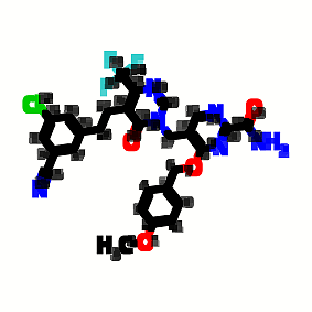 COc1ccc(COc2nc(C(N)=O)ncc2Cn2cnc(C(F)(F)F)c(CCc3cc(Cl)cc(C#N)c3)c2=O)cc1